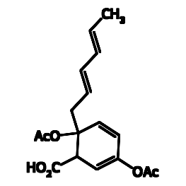 C/C=C/C=C/CC1(OC(C)=O)C=CC(OC(C)=O)=CC1C(=O)O